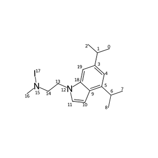 CC(C)c1cc(C(C)C)c2ccn(CCN(C)I)c2c1